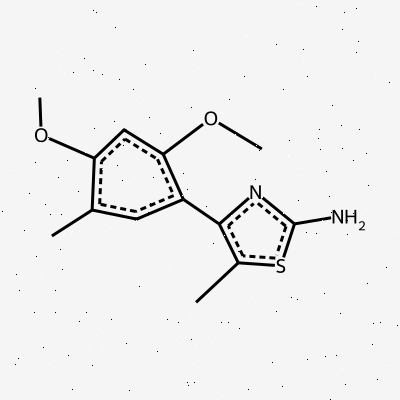 COc1cc(OC)c(-c2nc(N)sc2C)cc1C